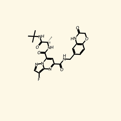 C[C@H](NC(=O)c1cc(C(=O)NCc2ccc3c(c2)NC(=O)CO3)nc2c(F)cnn12)C(=O)NC(C)(C)C